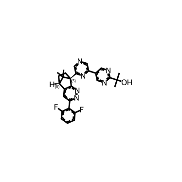 CC(C)(O)c1ncc(-c2cncc([C@@]34CC[C@@H](c5cc(-c6c(F)cccc6F)nnc53)C4(C)C)n2)cn1